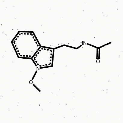 COn1cc(CCNC(C)=O)c2ccccc21